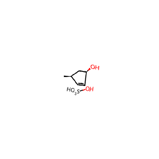 C[C@@H]1C=C[C@H](O)C1.O=S(=O)(O)O